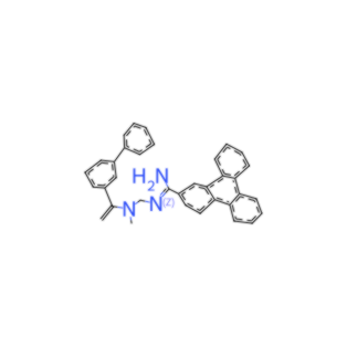 C=C(c1cccc(-c2ccccc2)c1)N(C)C/N=C(\N)c1ccc2c3ccccc3c3ccccc3c2c1